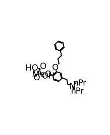 CCCN(CCC)CCc1ccc(OC)c(OCCCc2ccccc2)c1.O=C(O)C(=O)O